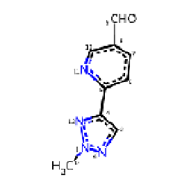 Cn1ncc(-c2ccc(C=O)cn2)n1